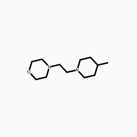 [CH2]C1CCN(CCN2CCOCC2)CC1